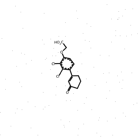 O=C(O)COc1ccc(C2=CC(=O)CCC2)c(Cl)c1Cl